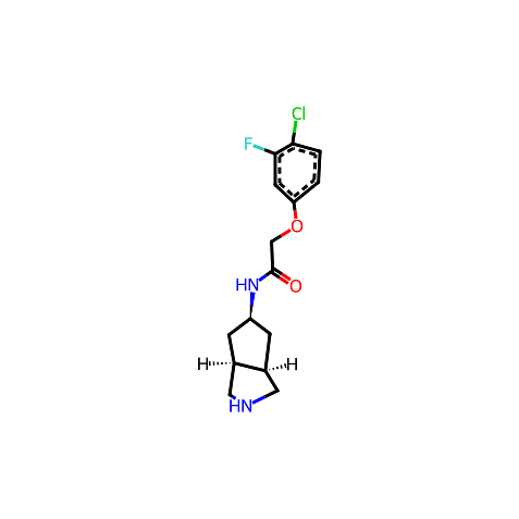 O=C(COc1ccc(Cl)c(F)c1)N[C@H]1C[C@H]2CNC[C@H]2C1